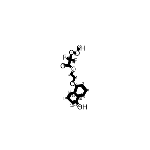 O=C(OCCOc1cccc2c(O)cccc12)C(F)(F)OOS